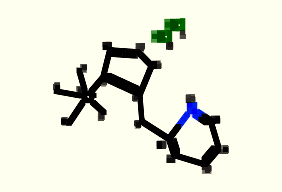 Cl.Cl.[CH3][Cr]([CH3])([CH3])([CH3])[C]1=C(Cc2ccccn2)CC=C1